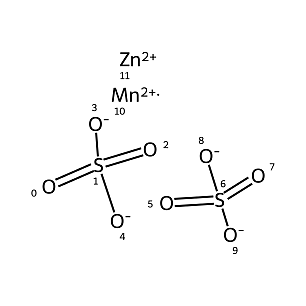 O=S(=O)([O-])[O-].O=S(=O)([O-])[O-].[Mn+2].[Zn+2]